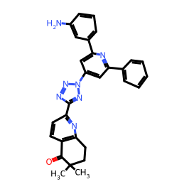 CC1(C)CCc2nc(-c3nnn(-c4cc(-c5ccccc5)nc(-c5cccc(N)c5)c4)n3)ccc2C1=O